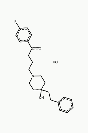 Cl.O=C(CCCN1CCC(O)(CCc2ccccc2)CC1)c1ccc(F)cc1